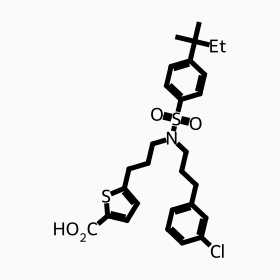 CCC(C)(C)c1ccc(S(=O)(=O)N(CCCc2cccc(Cl)c2)CCCc2ccc(C(=O)O)s2)cc1